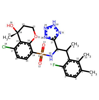 Cc1ccc(F)c(C(C)C(NS(=O)(=O)c2ccc(Cl)c3c2OCC[C@@]3(C)O)c2nn[nH]n2)c1C